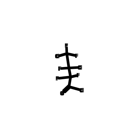 O=C(Cl)C(F)(F)C(F)(Cl)C(F)(F)Cl